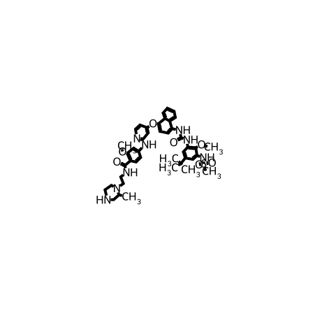 COc1cc(Nc2cc(Oc3ccc(NC(=O)Nc4cc(C(C)(C)C)cc(NS(C)(=O)=O)c4OC)c4ccccc34)ccn2)ccc1C(=O)NCCN1CCNCC1C